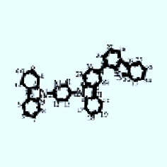 C1=Cc2c(c3ccccc3n2-c2ccc(-n3c4ccccc4c4cc(-c5cccc6c5sc5ccccc56)ccc43)cn2)CC1